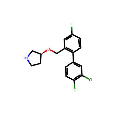 Fc1ccc(-c2ccc(Cl)c(Cl)c2)c(CO[C@H]2CCNC2)c1